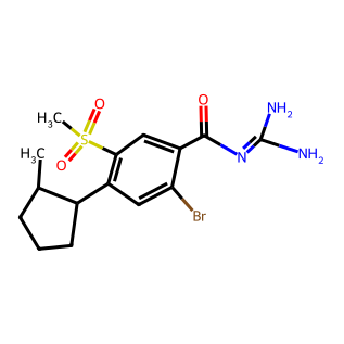 CC1CCCC1c1cc(Br)c(C(=O)N=C(N)N)cc1S(C)(=O)=O